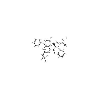 COC(=O)c1cnc(C(Cc2ccccc2)C[C@H](OC(C)=O)[C@H](Cc2ccccc2)NC(=O)OC(C)(C)C)s1